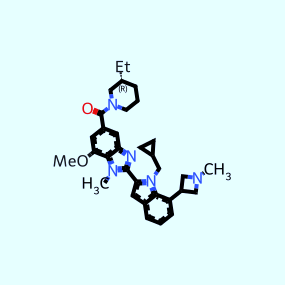 CC[C@@H]1CCCN(C(=O)c2cc(OC)c3c(c2)nc(-c2cc4cccc(C5CN(C)C5)c4n2CC2CC2)n3C)C1